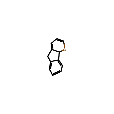 C1=CSC2C(=C1)Cc1ccccc12